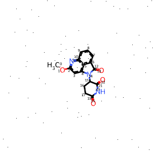 COc1cc2c3c(cccc3n1)C(=O)N2C1CCC(=O)NC1=O